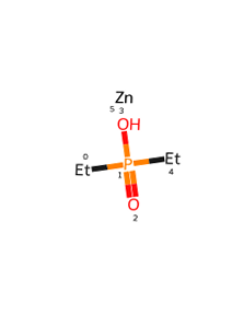 CCP(=O)(O)CC.[Zn]